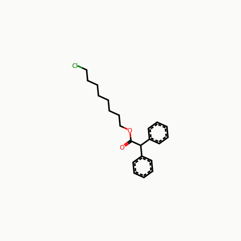 O=C(OCCCCCCCCCl)C(c1ccccc1)c1ccccc1